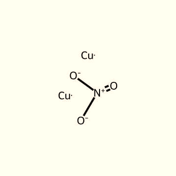 O=[N+]([O-])[O-].[Cu].[Cu]